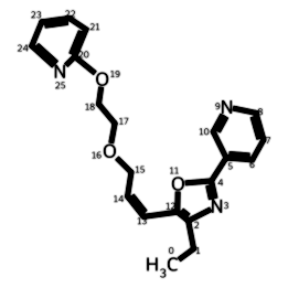 CCc1nc(-c2cccnc2)oc1/C=C\COCCOc1ccccn1